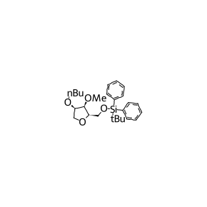 CCCCO[C@@H]1CO[C@H](CO[Si](c2ccccc2)(c2ccccc2)C(C)(C)C)[C@@H]1OC